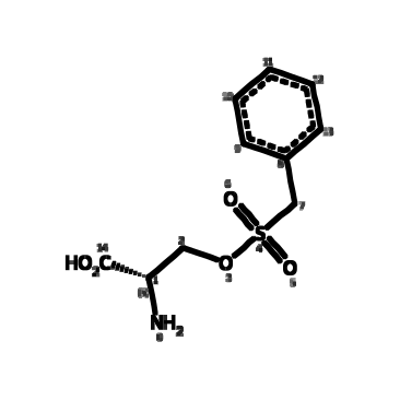 N[C@@H](COS(=O)(=O)Cc1ccccc1)C(=O)O